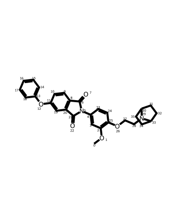 COc1cc(N2C(=O)c3ccc(Oc4ccccc4)cc3C2=O)ccc1OCCN1C2CCC1CC2